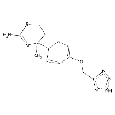 CC1(C2C=CC(OCc3nn[nH]n3)=CC2)CCSC(N)=N1